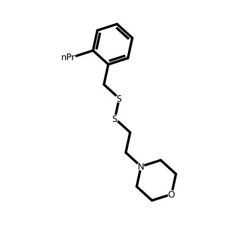 CCCc1ccccc1CSSCCN1CCOCC1